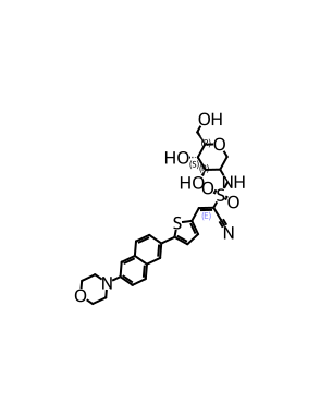 N#C/C(=C\c1ccc(-c2ccc3cc(N4CCOCC4)ccc3c2)s1)S(=O)(=O)NC1CO[C@H](CO)[C@@H](O)[C@@H]1O